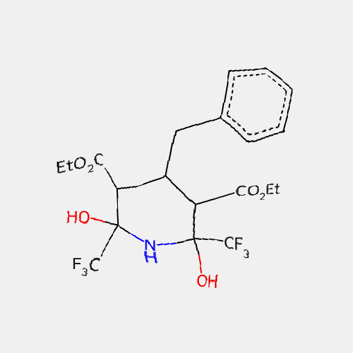 CCOC(=O)C1C(Cc2ccccc2)C(C(=O)OCC)C(O)(C(F)(F)F)NC1(O)C(F)(F)F